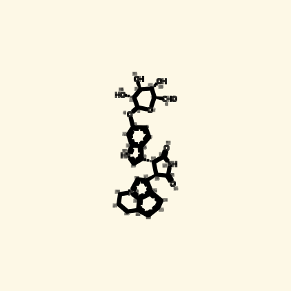 O=C[C@H]1OC(Oc2ccc3c([C@@H]4C(=O)NC(=O)[C@H]4c4cn5c6c(cccc46)CCC5)c[nH]c3c2)[C@H](O)[C@@H](O)[C@@H]1O